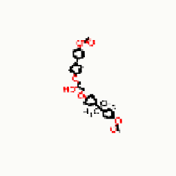 CC(C)(c1ccc(OCC(O)COc2ccc(-c3ccc(OC4CO4)cc3)cc2)cc1)c1ccc(OC2CO2)cc1